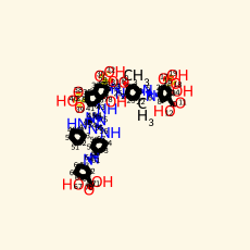 COc1cc(N=Nc2cc(C(=O)O)c(O)c(S(=O)(=O)O)c2)c(C)cc1N=Nc1c(S(=O)(=O)O)cc2cc(S(=O)(=O)O)cc(Nc3nc(Nc4ccccc4)nc(Nc4ccc(N=Nc5ccc(O)c(C(=O)O)c5)cc4)n3)c2c1O